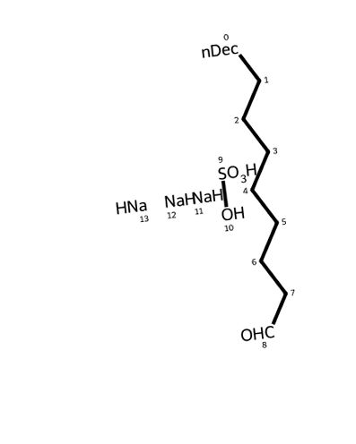 CCCCCCCCCCCCCCCCCC=O.O=S(=O)(O)O.[NaH].[NaH].[NaH]